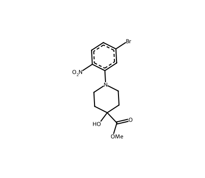 COC(=O)C1(O)CCN(c2cc(Br)ccc2[N+](=O)[O-])CC1